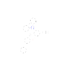 Cc1cc2c3c(c1)-n1c4ccccc4c4cccc(c41)B3c1ccc(-c3ccccc3)cc1O2